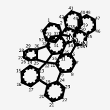 c1ccc(-n2c(-c3ccc4c(c3)C3(c5ccccc5-c5ccccc5-4)c4ccccc4-c4cc5c(cc43)oc3ccccc35)nc3ccccc32)cc1